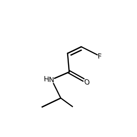 CC(C)NC(=O)/C=C\F